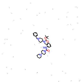 CC(C)(C)OC(=O)N(Cc1ccccc1NC(=O)N1CCC(N2CCCCC2)CC1)C1CCN(Cc2ccccc2)CC1